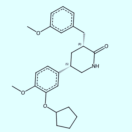 COc1cccc(C[C@H]2C[C@@H](c3ccc(OC)c(OC4CCCC4)c3)CNC2=O)c1